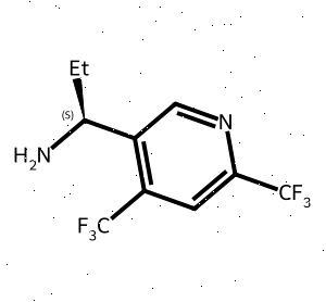 CC[C@H](N)c1cnc(C(F)(F)F)cc1C(F)(F)F